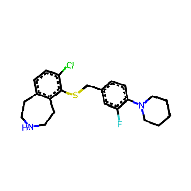 Fc1cc(CSc2c(Cl)ccc3c2CCNCC3)ccc1N1CCCCC1